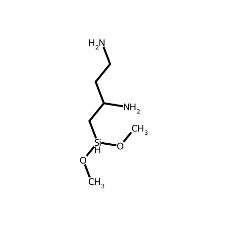 CO[SiH](CC(N)CCN)OC